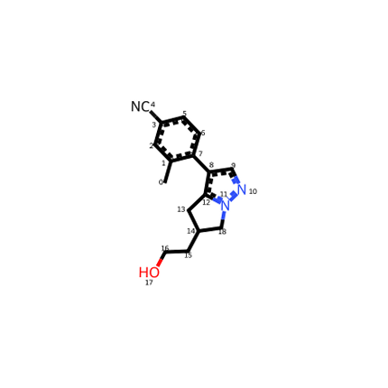 Cc1cc(C#N)ccc1-c1cnn2c1CC(CCO)C2